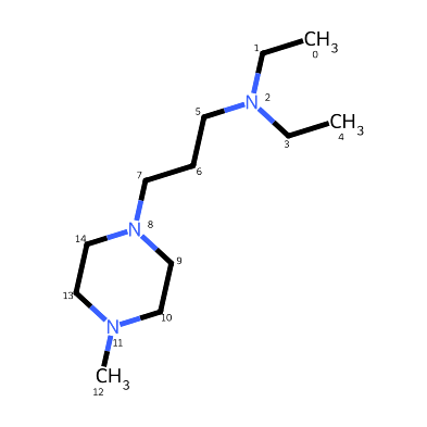 CCN(CC)CCCN1CCN(C)CC1